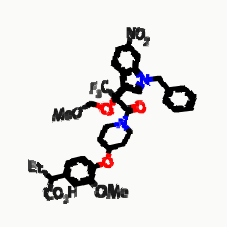 CCC(C(=O)O)c1ccc(OC2CCN(C(=O)C(OCOC)(c3cn(Cc4ccccc4)c4cc([N+](=O)[O-])ccc34)C(F)(F)F)CC2)c(OC)c1